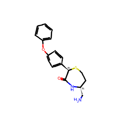 NC[C@H]1CCS[C@H](c2ccc(Oc3ccccc3)cc2)C(=O)N1